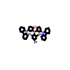 CC(C)c1cc(C(C)C)c(B2c3cc(-n4c5ccccc5c5ccccc54)ccc3Oc3ccc(-n4c5ccccc5c5ccccc54)cc32)c(C(C)C)c1